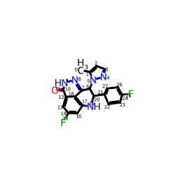 Cc1ccnn1C1c2n[nH]c(=O)c3cc(F)cc(c23)NC1c1ccc(F)cc1